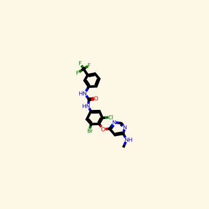 CNc1cc(Oc2c(Cl)cc(NC(=O)Nc3cccc(C(F)(F)F)c3)cc2Br)ncn1